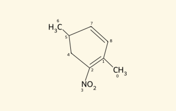 CC1=C([N+](=O)[O-])CC(C)C=C1